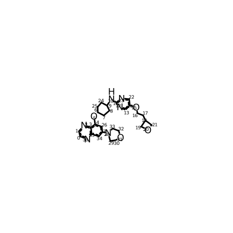 c1cnc2c(OC3CCC(Nc4ncc(OCCC5COC5)cn4)CC3)cc(N3CCOCC3)cc2n1